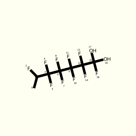 CC(F)C(F)(F)C(F)(F)C(F)(F)C(F)(F)C(O)(O)F